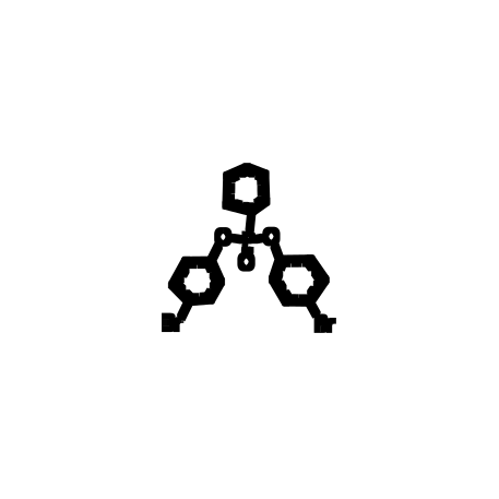 O=P(Oc1ccc(Br)cc1)(Oc1ccc(Br)cc1)c1ccccc1